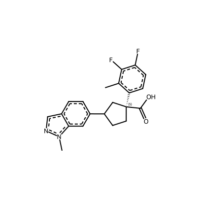 Cc1c([C@]2(C(=O)O)CCC(c3ccc4cnn(C)c4c3)C2)ccc(F)c1F